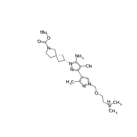 Cc1nn(COCC[SiH](C)C)cc1-c1nn([C@H]2C[C@@]3(CCN(C(=O)OC(C)(C)C)C3)C2)c(N)c1C#N